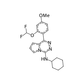 COc1ccc(-c2nnc(NC3CCCCC3)n3cccc23)c(OC(F)F)c1